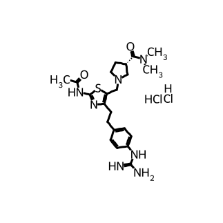 CC(=O)Nc1nc(CCc2ccc(NC(=N)N)cc2)c(CN2CC[C@H](C(=O)N(C)C)C2)s1.Cl.Cl